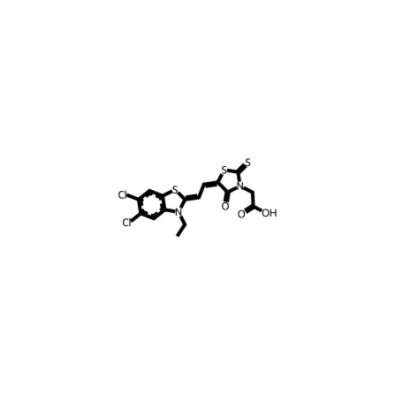 CCN1/C(=C/C=C2/SC(=S)N(CC(=O)O)C2=O)Sc2cc(Cl)c(Cl)cc21